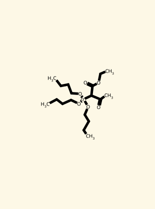 CCCC[O][Zr]([O]CCCC)([O]CCCC)[CH](C(C)=O)C(=O)OCC